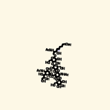 CCCCCCCCCCCCC/C=C/[C@@H](O)[C@H](CO[C@@H]1O[C@H](CO)[C@@H](O[C@@H]2O[C@H](CO)[C@H](O[C@@H]3O[C@H](CO[C@]4(C(=O)O)C[C@H](O)[C@@H](NC(C)=O)[C@H]([C@H](O)[C@H](O)CO)O4)[C@H](O)[C@H](O[C@@H]4O[C@H](CO)[C@H](O)[C@H](O)[C@H]4O)[C@H]3NC(C)=O)[C@H](O)[C@H]2O)[C@H](O)[C@H]1O)NC(C)=O